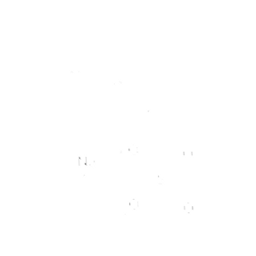 O=S(=O)([O-])OCC1CC1.[Na+]